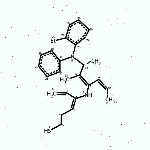 C=C/C(=C\CCS)NC(/C=C\C)=C(\C)[C@@H](C)N(c1ccccc1)c1ccccc1CC